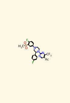 CC(=O)c1cnc(N2CCN(c3ccc(F)c(S(C)(=O)=O)c3)CC2c2ccc(F)cc2)nc1C(F)(F)F